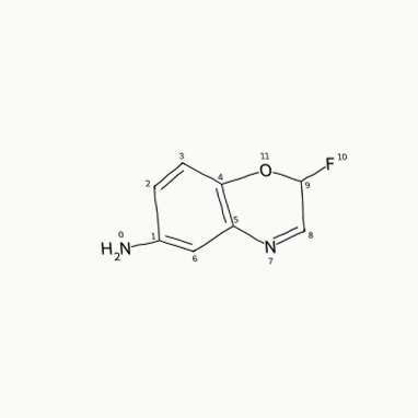 Nc1ccc2c(c1)N=CC(F)O2